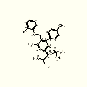 Cc1ccc(-c2c(COc3ccccc3Br)c(C)nc(CC(C)C)c2CC(C)(C)C)cc1